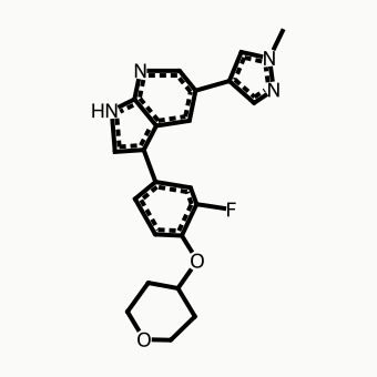 Cn1cc(-c2cnc3[nH]cc(-c4ccc(OC5CCOCC5)c(F)c4)c3c2)cn1